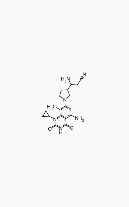 Cc1c(N2CCC(C(N)CC#N)C2)cc(N)c2c(=O)[nH]c(=O)n(C3CC3)c12